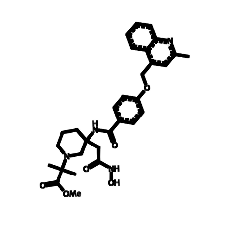 COC(=O)C(C)(C)N1CCCC(CC(=O)NO)(NC(=O)c2ccc(OCc3cc(C)nc4ccccc34)cc2)C1